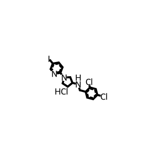 Cl.Clc1ccc(CNC2CCN(c3ccc(I)cn3)C2)c(Cl)c1